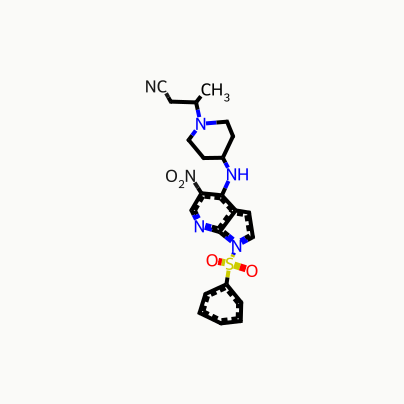 CC(CC#N)N1CCC(Nc2c([N+](=O)[O-])cnc3c2ccn3S(=O)(=O)c2ccccc2)CC1